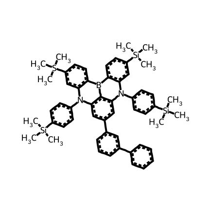 C[Si](C)(C)c1ccc(N2c3cc([Si](C)(C)C)ccc3B3c4ccc(S(C)(C)C)cc4N(c4ccc([Si](C)(C)C)cc4)c4cc(-c5cccc(-c6ccccc6)c5)cc2c43)cc1